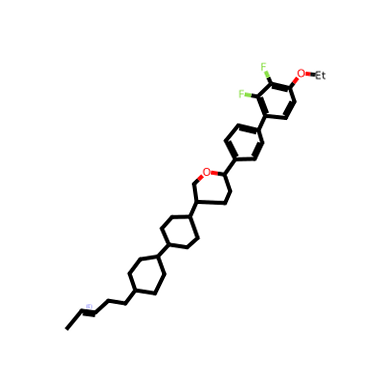 C/C=C/CCC1CCC(C2CCC(C3CCC(c4ccc(-c5ccc(OCC)c(F)c5F)cc4)OC3)CC2)CC1